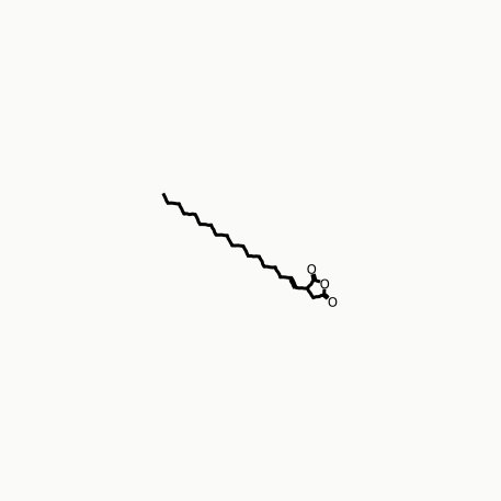 CCCCCCCCCCCCCCCCC=CC1CC(=O)OC1=O